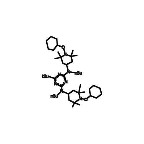 CCCCN(c1nc(N(CCCC)C2CC(C)(C)N(OC3CCCCC3)C(C)(C)C2)nc(C(C)(C)C)n1)C1CC(C)(C)N(OC2CCCCC2)C(C)(C)C1